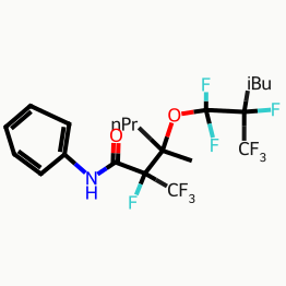 CCCC(C)(OC(F)(F)C(F)(C(C)CC)C(F)(F)F)C(F)(C(=O)Nc1ccccc1)C(F)(F)F